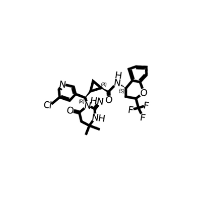 CC1(C)CC(=O)N([C@@H](c2cncc(Cl)c2)C2C[C@H]2C(=O)N[C@H]2CC(C(F)(F)F)Oc3ccccc32)C(=N)N1